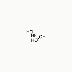 Cl.F.OO